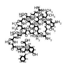 CC[C@H](C)[C@H](NC(=O)[C@H](CCCNC(=N)N)N1C(=O)[C@@H](N)CC1C)C(=O)N[C@H](C(=O)NC(CCC(N)=O)C(=O)N[C@@H](CS)C(=O)N[C@@H](CCCNC(=N)N)C(=O)N[C@@H](CO)C(=O)N[C@H](C(=O)N[C@@H](CCC(=O)O)C(=O)NCC(=O)N[C@@H](CO)C(=O)N[C@@H](CS)C(=O)NCC(=O)N[C@@H](Cc1ccccc1)C(=O)N[C@@H](Cc1ccc(O)cc1)C(=O)O)C(C)C)C(C)C